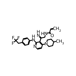 C=CC(=O)NCC(=N)c1c(N2CCC(C)CC2)ccnc1Nc1ccc(CC(F)(F)F)cc1